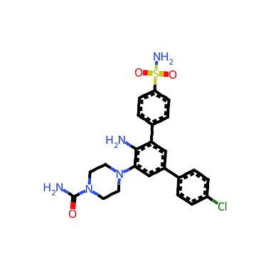 NC(=O)N1CCN(c2cc(-c3ccc(Cl)cc3)cc(-c3ccc(S(N)(=O)=O)cc3)c2N)CC1